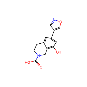 O=C(O)N1CCc2cc(-c3cnoc3)cc(O)c2C1